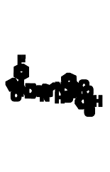 O=C1CCC(N2C(=O)c3cccc(NCc4cnn(C5CCN(C(=O)C6(Cc7ccc(F)cc7)CCC6)CC5)c4)c3C2=O)C(=O)N1